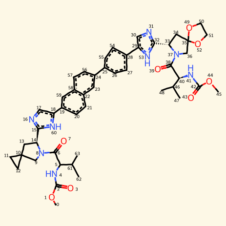 COC(=O)NC(C(=O)N1CC2(CC2)C[C@H]1c1ncc(-c2ccc3cc(-c4ccc(-c5cnc([C@@H]6CC7(CN6C(=O)[C@@H](NC(=O)OC)C(C)C)OCCO7)[nH]5)cc4)ccc3c2)[nH]1)C(C)C